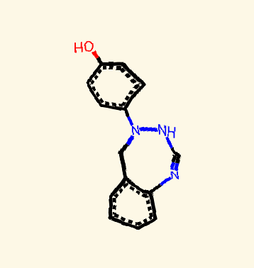 Oc1ccc(N2Cc3ccccc3N=CN2)cc1